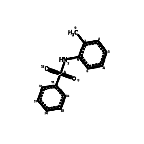 Cc1[c]cccc1NS(=O)(=O)c1ccccc1